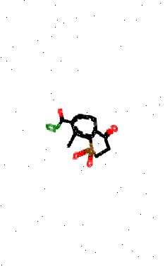 Cc1c(C(=O)Cl)ccc2c1S(=O)(=O)CCC2=O